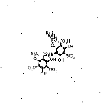 O=C(O)c1c(O)c([N+](=O)[O-])c(O)c([N+](=O)[O-])c1O[N+](=O)[O-].O=C(O)c1c(O)c([N+](=O)[O-])c(O)c([N+](=O)[O-])c1O[N+](=O)[O-].[BaH2].[BaH2].[BaH2]